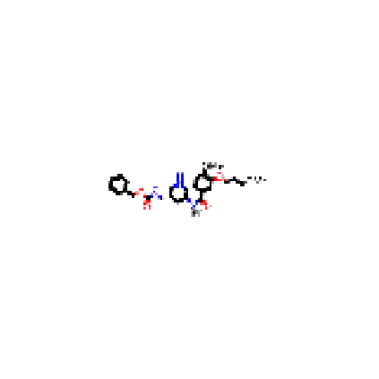 COCCCOc1cc(C(=O)N(C(C)C)C2CNC[C@@H](CNC(=O)OCc3ccccc3)C2)ccc1OC